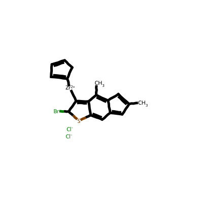 CC1=Cc2c(C)c3c(cc2=C1)SC(Br)[C]=3[Zr+2][C]1=CC=CC1.[Cl-].[Cl-]